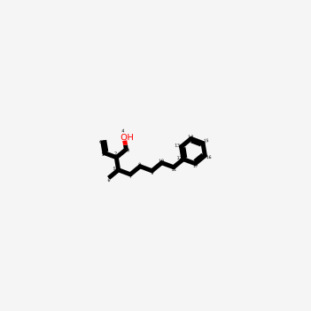 C=CC(CO)C(C)CCCCCc1ccccc1